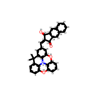 CC1(C)c2cccc3c2N2c4c(cccc4Oc4cc(C=C5C(=O)c6cc7ccccc7cc6C5=O)cc1c42)O3